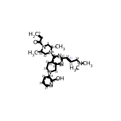 C=CC(=O)N1C[C@H](C)N(c2nc(/C=C/CN(C)C)nc3c2CCN(c2cccnc2O)C3)C[C@H]1C